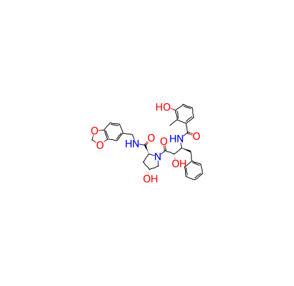 Cc1c(O)cccc1C(=O)N[C@@H](Cc1ccccc1)[C@H](O)C(=O)N1C[C@H](O)C[C@H]1C(=O)NCc1ccc2c(c1)OCO2